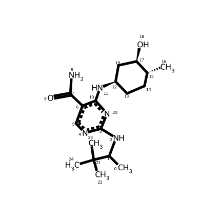 CC(Nc1ncc(C(N)=O)c(N[C@@H]2CC[C@@H](C)[C@H](O)C2)n1)C(C)(C)C